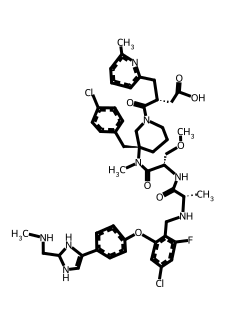 CNCC1NC=C(c2ccc(Oc3cc(Cl)cc(F)c3CN[C@@H](C)C(=O)N[C@@H](COC)C(=O)N(C)[C@@]3(Cc4ccc(Cl)cc4)CCCN(C(=O)[C@@H](CC(=O)O)Cc4cccc(C)n4)C3)cc2)N1